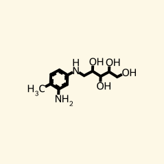 Cc1ccc(NCC(O)C(O)C(O)CO)cc1N